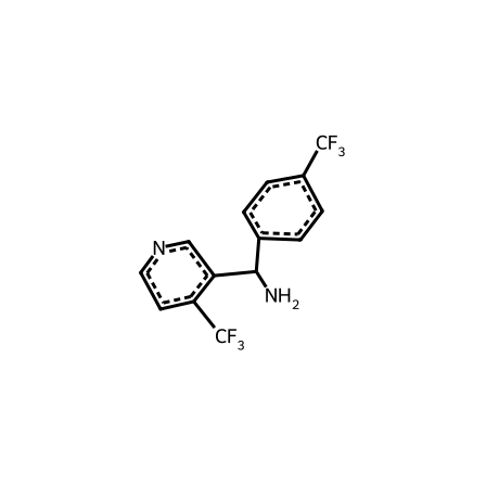 NC(c1ccc(C(F)(F)F)cc1)c1cnccc1C(F)(F)F